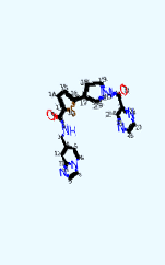 O=C(NCc1ccn2ccnc2c1)c1ccc(C2CCN(C(=O)c3cnccn3)C2)s1